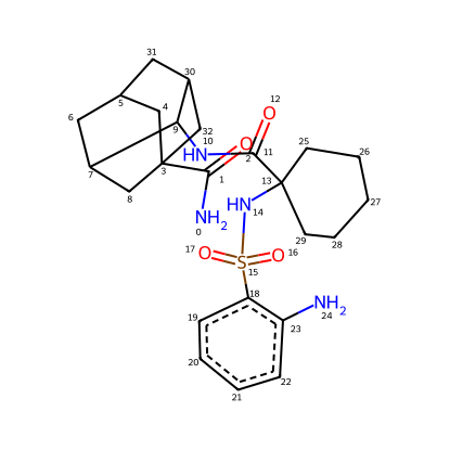 NC(=O)C12CC3CC(C1)C(NC(=O)C1(NS(=O)(=O)c4ccccc4N)CCCCC1)C(C3)C2